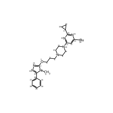 Cn1c(OCCCN2CCN(c3cc(C(C)(C)C)nc(C4CC4)n3)CC2)nnc1-c1ccccc1